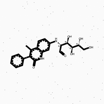 Cc1c(-c2ccccc2)c(=O)[nH]c2cc(N[C@@H](C=O)[C@@H](O)[C@H](O)[C@H](O)CO)ccc12